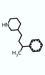 CC(CCC1CCCNC1)c1ccccc1